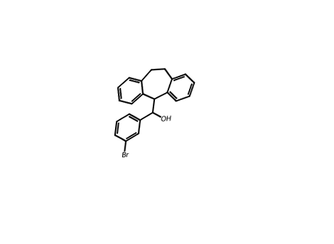 OC(c1cccc(Br)c1)C1c2ccccc2CCc2ccccc21